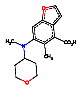 Cc1c(N(C)C2CCOCC2)cc2occc2c1C(=O)O